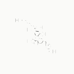 CCCCCCC(C)(C)c1cc(O)c2c(c1)OC(C)(C)C1CC=C(CN3CCC(C)CC3)CC21